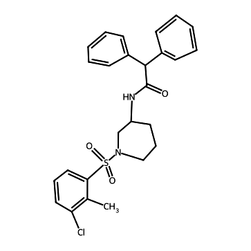 Cc1c(Cl)cccc1S(=O)(=O)N1CCCC(NC(=O)C(c2ccccc2)c2ccccc2)C1